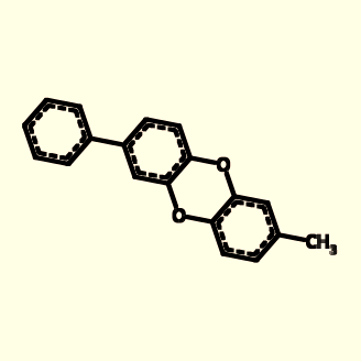 Cc1ccc2c(c1)Oc1ccc(-c3ccccc3)cc1O2